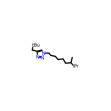 CC(C)C(C)CCCCCCn1cc(CC(C)(C)C)nn1